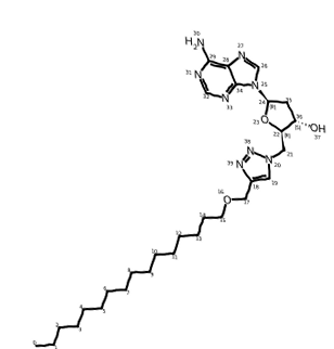 CCCCCCCCCCCCCCCCOCc1cn(C[C@H]2O[C@@H](n3cnc4c(N)ncnc43)C[C@@H]2O)nn1